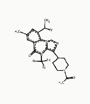 [2H]C([2H])([2H])n1c(=O)c2cc(C)cc(C(C)Br)c2n2cnc(C3CCN(C(C)=O)CC3)c12